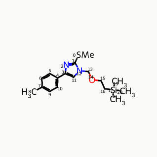 CSc1nc(-c2ccc(C)cc2)cn1COCC[Si](C)(C)C